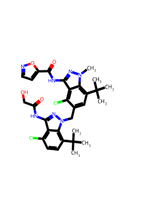 Cn1nc(NC(=O)c2ccno2)c2c(Cl)c(Cn3nc(NC(=O)CO)c4c(Cl)ccc(C(C)(C)C)c43)cc(C(C)(C)C)c21